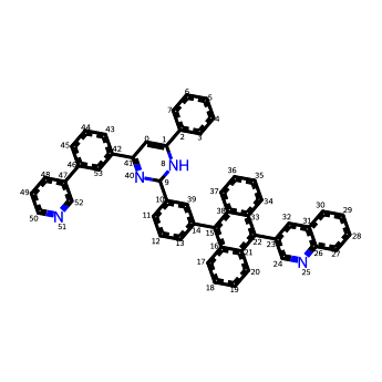 C1=C(c2ccccc2)NC(c2cccc(-c3c4ccccc4c(-c4cnc5ccccc5c4)c4ccccc34)c2)N=C1c1cccc(-c2cccnc2)c1